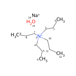 CCC[N+](CCC)(CCC)CCC.O.[Na+]